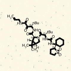 C=CCNC(=O)C(=O)[C@H](CCCC)NC(=O)[C@@H]1[C@@H]2[C@H](CN1C(=O)[C@@H](NC(=O)NC1([C@@H]3CCCS3(=O)=O)CCCCC1)C(C)(C)C)C2(C)C